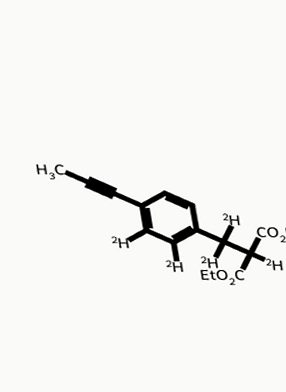 [2H]c1c(C#CC)ccc(C([2H])([2H])C([2H])(C(=O)OCC)C(=O)OCC)c1[2H]